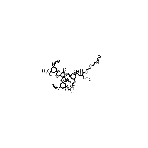 C=C(CCC1(C)CC(N=C=O)CC(C)(Cn2c(=O)n(CC3(C)CC(N=C=O)CC(C)(C)C3)c(=O)n(CC3(C)CC(N=C=O)CC(C)(C)C3)c2=O)C1)C(=O)OCCOCCN=C=O